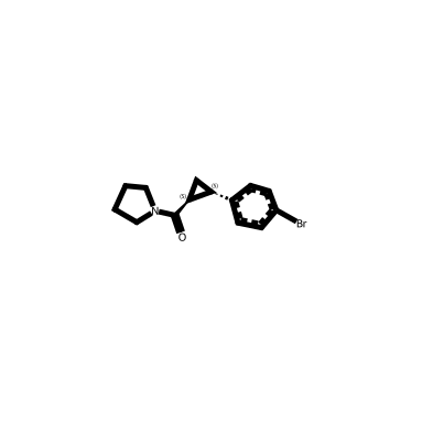 O=C([C@H]1C[C@@H]1c1ccc(Br)cc1)N1CCCC1